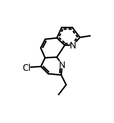 CCC1=NC2c3nc(C)ccc3C=CC2C(Cl)=C1